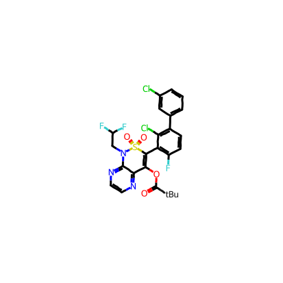 CC(C)(C)C(=O)OC1=C(c2c(F)ccc(-c3cccc(Cl)c3)c2Cl)S(=O)(=O)N(CC(F)F)c2nccnc21